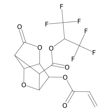 C=CC(=O)OC1C2OC(=O)C3C2OC1C3C(=O)OC(C(F)(F)F)C(F)(F)F